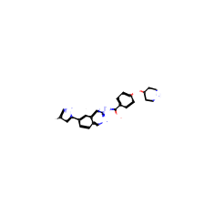 CCc1cc(-c2ccc3cnc(NC(O)c4ccc(OC5CCNCC5)cc4)cc3c2)n(C)c1